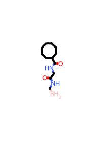 BCNC(=O)CNC(=O)C1CCCCCCC1